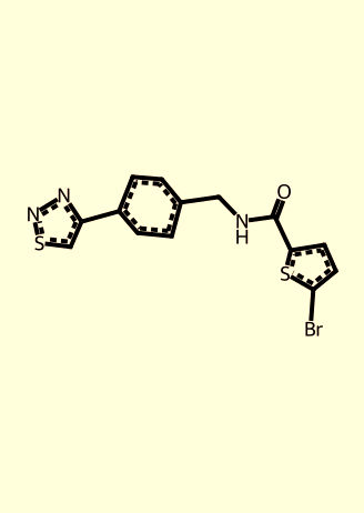 O=C(NCc1ccc(-c2csnn2)cc1)c1ccc(Br)s1